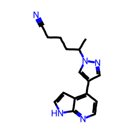 CC(CCCC#N)n1cc(-c2ccnc3[nH]ccc23)cn1